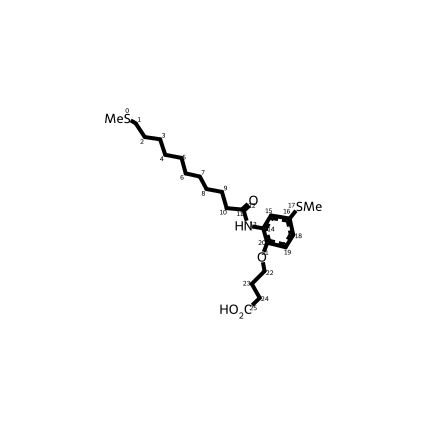 CSCCCCCCCCCCC(=O)Nc1cc(SC)ccc1OCCCC(=O)O